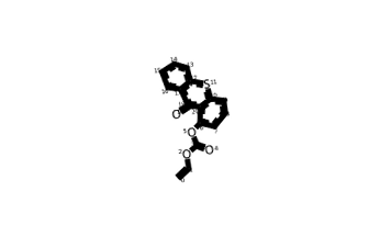 C=COC(=O)Oc1cccc2sc3ccccc3c(=O)c12